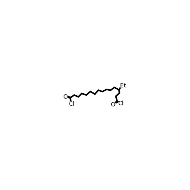 CCC(CCCCCCCCCCCC(=O)Cl)CCC(=O)Cl